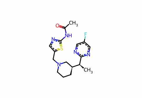 CC(=O)Nc1ncc(CN2CCC[C@H]([C@H](C)c3ncc(F)cn3)C2)s1